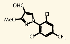 COc1nn(-c2c(Cl)cc(C(F)(F)F)cc2Cl)cc1C=O